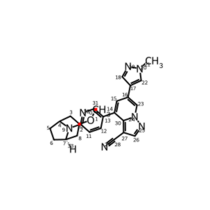 COC1CC2CC[C@H](C1)N2c1ccc(-c2cc(-c3cnn(C)c3)cn3ncc(C#N)c23)cn1